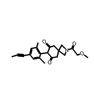 CC#Cc1cc(C)c(C2C(=O)CC3(CC2=O)CN(C(=O)COC)C3)c(C)c1